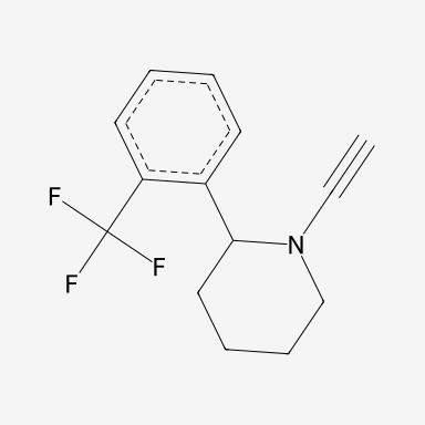 C#CN1CCCCC1c1ccccc1C(F)(F)F